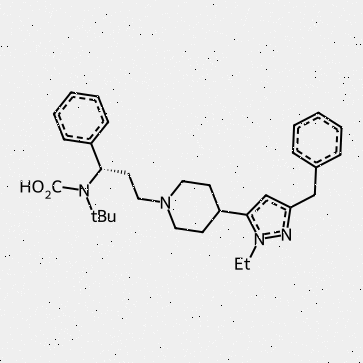 CCn1nc(Cc2ccccc2)cc1C1CCN(CC[C@@H](c2ccccc2)N(C(=O)O)C(C)(C)C)CC1